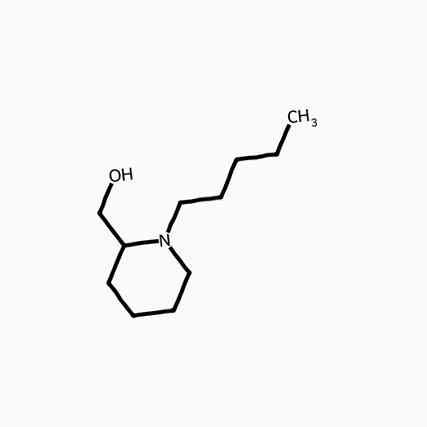 CCCCCN1CCCCC1CO